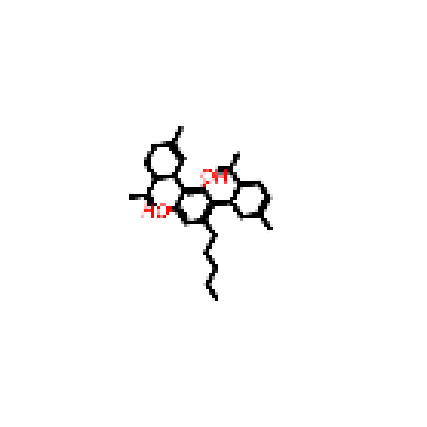 C=C(C)C1CCC(C)=CC1c1c(O)cc(CCCCC)c(C2CC(C)=CCC2C(=C)C)c1O